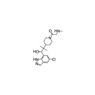 CNCC(=O)N1CCC(C(C)(C)[C@H](O)c2cc(Cl)cc3cn[nH]c23)CC1